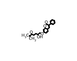 C=C(C)C(=O)CCC(O)COC1=CC2OC(=O)C(c3ccccc3)=CC2C=C1